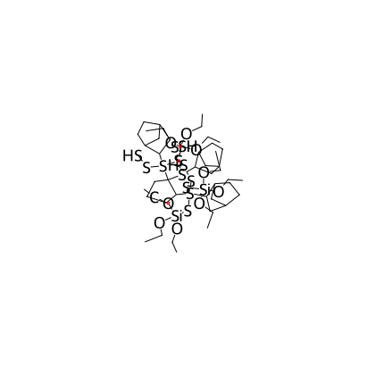 CCO[Si](OCC)(OCC)SS(SS)(C1CC2CCC1C2)C1CCCC1(S(SS)(S[Si](OCC)(OCC)OCC)C1CC2CCC1C2)S(SS)(S[Si](OCC)(OCC)OCC)C1CC2CCC1C2